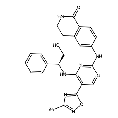 CC(C)c1noc(-c2cnc(Nc3ccc4c(c3)CCNC4=O)nc2N[C@H](CO)c2ccccc2)n1